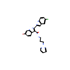 O=C(NCCC[n+]1ccccc1)c1c(-c2cc3cc(Cl)ccc3[nH]2)[nH]c2cc(Br)ccc12